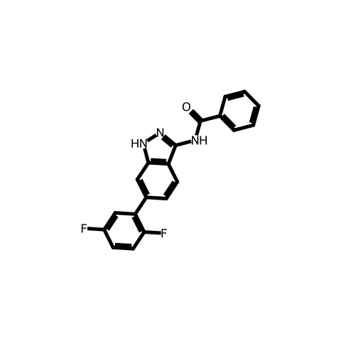 O=C(Nc1n[nH]c2cc(-c3cc(F)ccc3F)ccc12)c1ccccc1